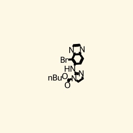 CCCCOC(=O)N1CCN=C1Nc1ccc2nccnc2c1Br